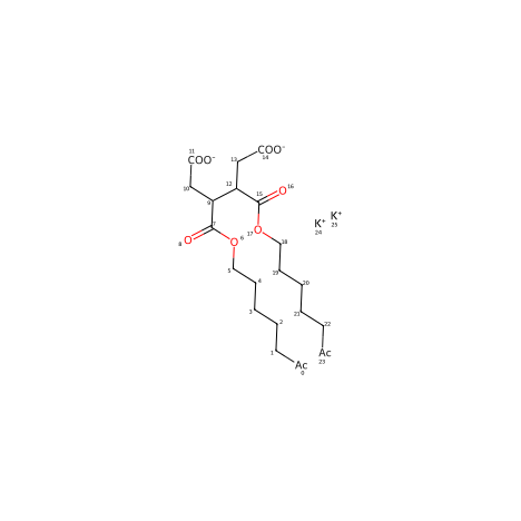 CC(=O)CCCCCOC(=O)C(CC(=O)[O-])C(CC(=O)[O-])C(=O)OCCCCCC(C)=O.[K+].[K+]